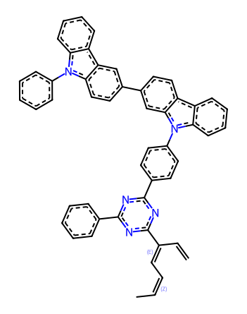 C=C/C(=C\C=C/C)c1nc(-c2ccccc2)nc(-c2ccc(-n3c4ccccc4c4ccc(-c5ccc6c(c5)c5ccccc5n6-c5ccccc5)cc43)cc2)n1